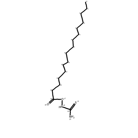 CCCCCCCCCCCCCCCC(=O)ONC(N)=S